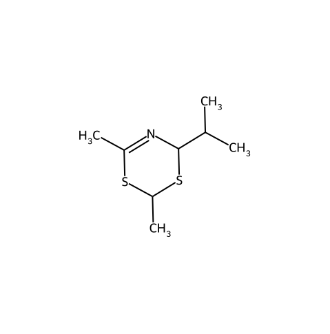 CC1=NC(C(C)C)SC(C)S1